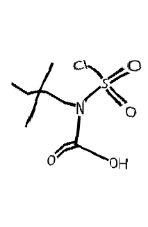 CC(C)(C)N(C(=O)O)S(=O)(=O)Cl